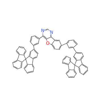 c1cc(-c2ccc3c(c2)C2(c4ccccc4-c4ccccc42)c2ccccc2-3)cc(-c2ccc3oc4c(-c5cccc(-c6ccc7c(c6)C6(c8ccccc8-c8ccccc86)c6ccccc6-7)c5)ncnc4c3c2)c1